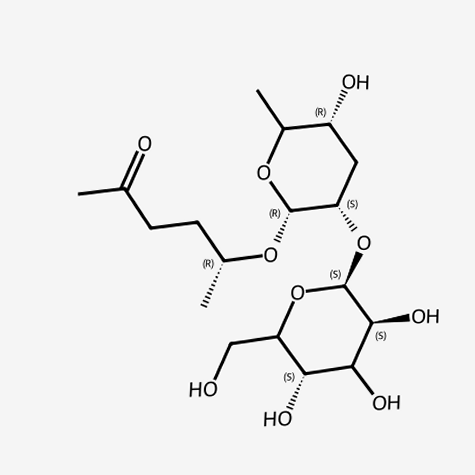 CC(=O)CC[C@@H](C)O[C@@H]1OC(C)[C@H](O)C[C@@H]1O[C@@H]1OC(CO)[C@@H](O)C(O)[C@@H]1O